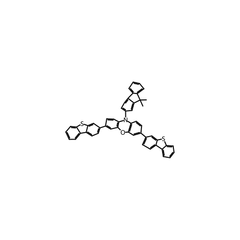 CC1(C)c2ccccc2-c2ccc(N3c4ccc(-c5ccc6c(c5)sc5ccccc56)cc4Oc4cc(-c5ccc6c(c5)sc5ccccc56)ccc43)cc21